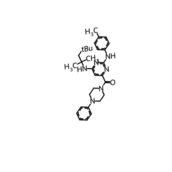 Cc1ccc(Nc2nc(NC(C)(C)CC(C)(C)C)cc(C(=O)N3CCN(c4ccccc4)CC3)n2)cc1